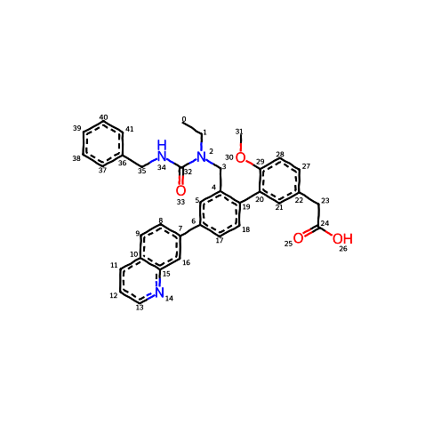 CCN(Cc1cc(-c2ccc3cccnc3c2)ccc1-c1cc(CC(=O)O)ccc1OC)C(=O)NCc1ccccc1